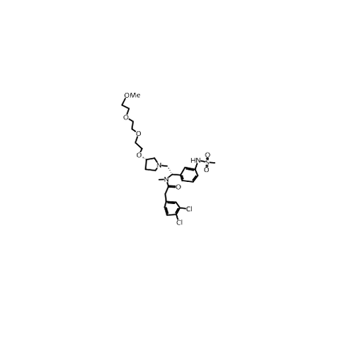 COCCOCCOCCO[C@H]1CCN(C[C@H](c2cccc(NS(C)(=O)=O)c2)N(C)C(=O)Cc2ccc(Cl)c(Cl)c2)C1